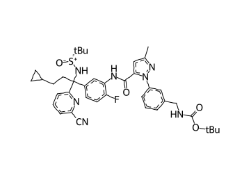 Cc1cc(C(=O)Nc2cc(C(CCC3CC3)(N[S@+]([O-])C(C)(C)C)c3cccc(C#N)n3)ccc2F)n(-c2cccc(CNC(=O)OC(C)(C)C)c2)n1